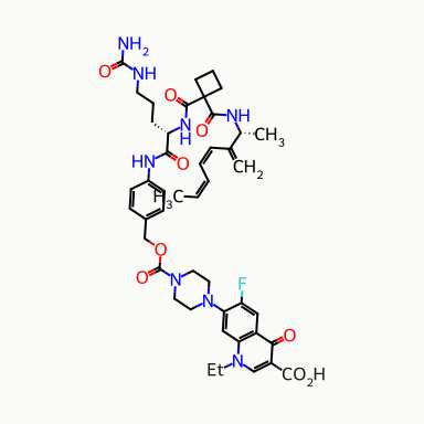 C=C(/C=C\C=C/C)[C@@H](C)NC(=O)C1(C(=O)N[C@@H](CCCNC(N)=O)C(=O)Nc2ccc(COC(=O)N3CCN(c4cc5c(cc4F)c(=O)c(C(=O)O)cn5CC)CC3)cc2)CCC1